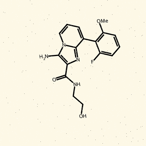 COc1cccc(F)c1-c1cccn2c(N)c(C(=O)NCCO)nc12